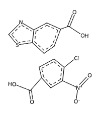 O=C(O)c1ccc(Cl)c([N+](=O)[O-])c1.O=C(O)c1ccc2scnc2c1